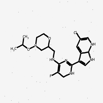 CC(C)ON1CCOC(CNC2=C(F)CNC(C3=CNC4NC=C(Cl)C=C34)=N2)C1